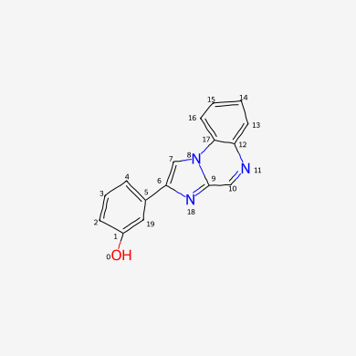 Oc1cccc(-c2cn3c(cnc4ccccc43)n2)c1